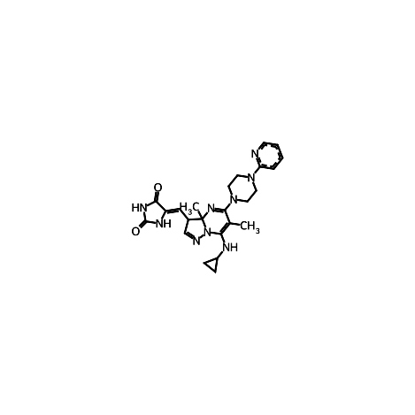 CC1=C(NC2CC2)N2N=CC(/C=C3\NC(=O)NC3=O)C2(C)N=C1N1CCN(c2ccccn2)CC1